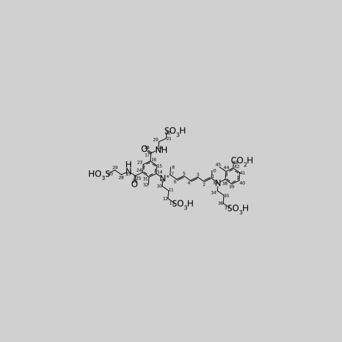 C\C(=C/C=C/C=C/C(C)=[N+](\CCCS(=O)(=O)O)c1cc(C(=O)NCCS(=O)(=O)O)cc(C(=O)NCCS(=O)(=O)O)c1C)N(CCCS(=O)(=O)O)c1cccc(C(=O)O)c1C